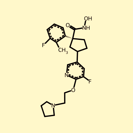 Cc1c(F)cccc1[C@]1(C(=O)NO)CCC(c2cnc(OCCN3CCCC3)c(F)c2)C1